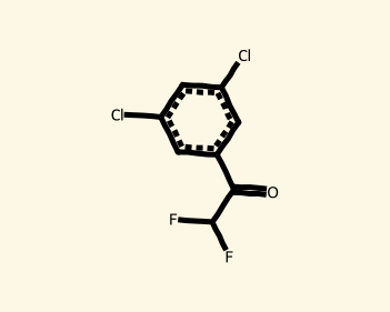 O=C(c1cc(Cl)cc(Cl)c1)C(F)F